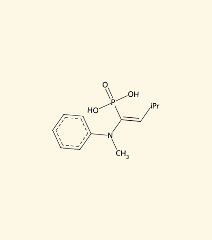 CC(C)C=C(N(C)c1ccccc1)P(=O)(O)O